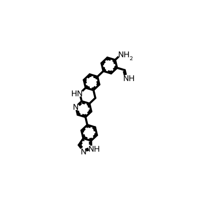 N=Cc1cc(-c2ccc3c(c2)Cc2cc(-c4ccc5[nH]ncc5c4)cnc2N3)ccc1N